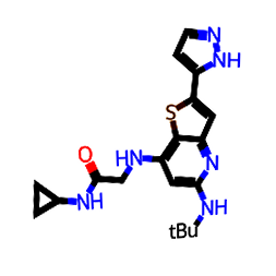 CC(C)(C)Nc1cc(NCC(=O)NC2CC2)c2sc(-c3ccn[nH]3)cc2n1